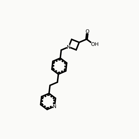 O=C(O)C1CN(Cc2ccc(CCc3cccnc3)cc2)C1